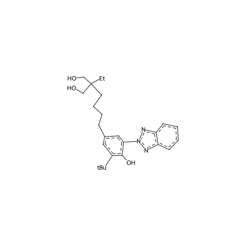 CCC(CO)(CO)CCCCc1cc(-n2nc3ccccc3n2)c(O)c(C(C)(C)C)c1